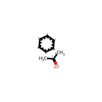 CC(C)=O.[c]1ccccc1